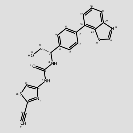 C#Cc1nc(NC(=O)N[C@H](CO)c2ccc(-c3cccc4ncsc34)cc2)cs1